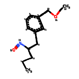 CCCC(Cc1cccc(COC)c1)N=O